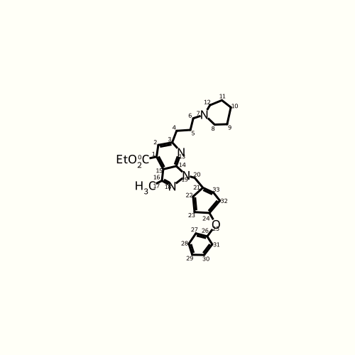 CCOC(=O)c1cc(CCCN2CCCCC2)nc2c1c(C)nn2Cc1ccc(Oc2ccccc2)cc1